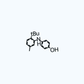 Cc1ccc(C(C)(C)C)c(Nc2ccc(O)cc2)c1